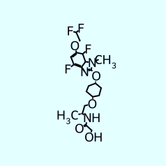 C[C@@H](CO[C@H]1CC[C@H](OC2=NC3=C(F)C=C(OCC(F)F)C(F)C3N2C)CC1)NC(=O)CO